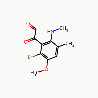 CNc1c(C)cc(OC)c(Br)c1C(=O)C=O